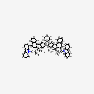 Cn1c2ccccc2c2cccc(-c3cc4c(c5ccccc35)-c3cc5c(cc3C4(C)C)-c3cc4c(cc3C53CCCCC3)-c3c(cc(-c5cccc6c7ccccc7n(C)c56)c5ccccc35)C4(C)C)c21